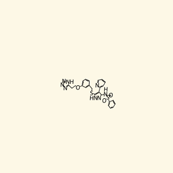 O=S(=O)(Nc1n[nH]c(SCc2cccc(OCCc3nnn[nH]3)c2)c1-c1ccccn1)c1ccccc1